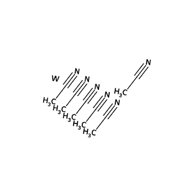 CC#N.CC#N.CC#N.CC#N.CC#N.CC#N.[W]